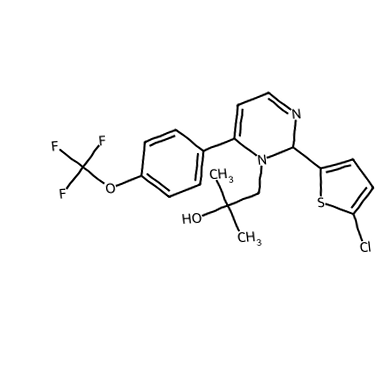 CC(C)(O)CN1C(c2ccc(OC(F)(F)F)cc2)=CC=NC1c1ccc(Cl)s1